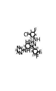 O=C(/N=C(/Nc1cc(F)cc(Cl)c1)N[C@H]1CC[C@H](Nc2cnccn2)CC1)c1ccc(F)c(F)c1